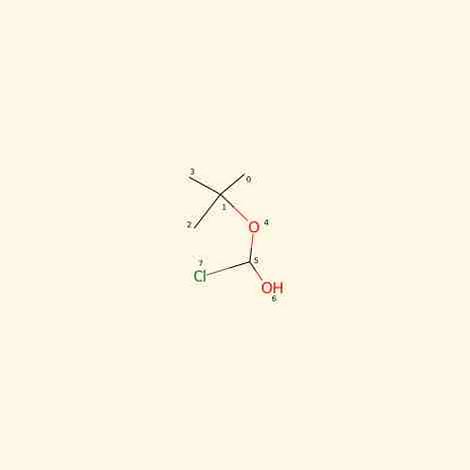 CC(C)(C)OC(O)Cl